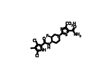 Cc1c(Cl)[nH]c(C(=O)N[C@@H]2CCN(c3nc(C(=O)O)c(C(N)=O)s3)C[C@@H]2F)c1Cl